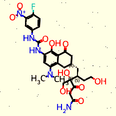 CN(C)c1cc(NC(=O)Nc2ccc(F)c([N+](=O)[O-])c2)c(O)c2c1C[C@@H](C[C@@H](CCO)[C@](O)(CO)C(=O)CC(N)=O)CC2=O